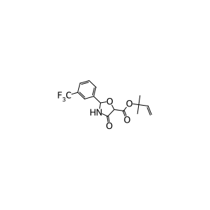 C=CC(C)(C)OC(=O)C1OC(c2cccc(C(F)(F)F)c2)NC1=O